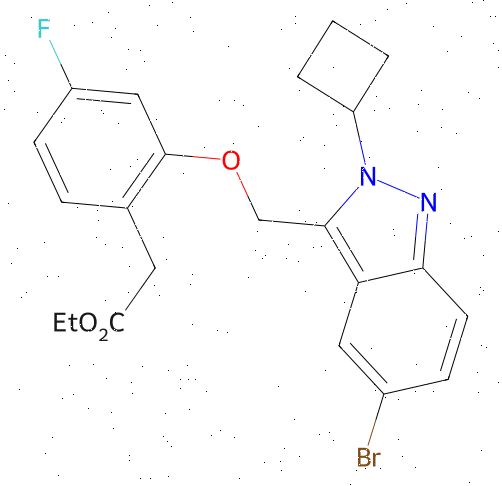 CCOC(=O)Cc1ccc(F)cc1OCc1c2cc(Br)ccc2nn1C1CCC1